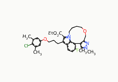 CCOC(=O)c1c(CCCOc2cc(C)c(Cl)c(C)c2)c2ccc(F)c3c2n1CCCCOCc1nn(C)c(C)c1-3